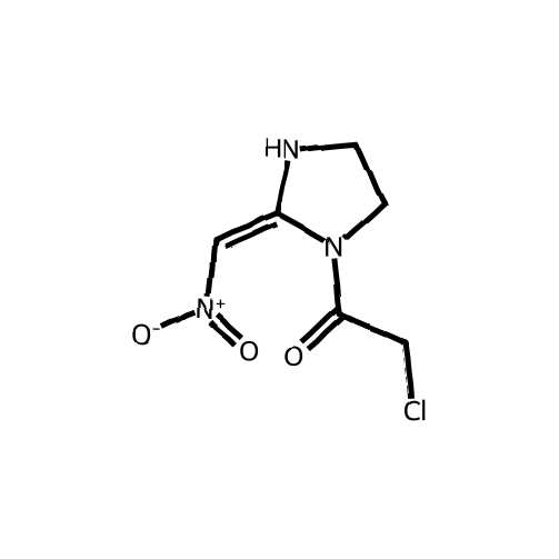 O=C(CCl)N1CCN/C1=C/[N+](=O)[O-]